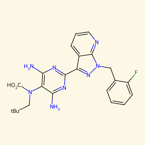 CC(C)(C)CN(C(=O)O)c1c(N)nc(-c2nn(Cc3ccccc3F)c3ncccc23)nc1N